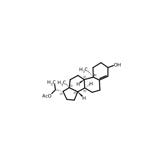 CC(=O)OC(C)[C@H]1CC[C@H]2[C@@H]3CCC4=CC(O)CC[C@]4(C)[C@H]3CC[C@]12C